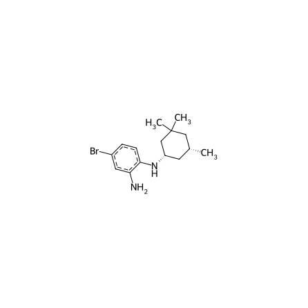 C[C@@H]1C[C@H](Nc2ccc(Br)cc2N)CC(C)(C)C1